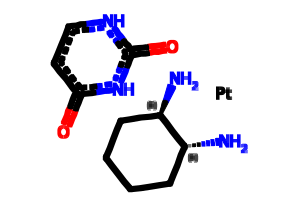 N[C@@H]1CCCC[C@H]1N.O=c1cc[nH]c(=O)[nH]1.[Pt]